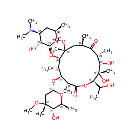 CO[C@]1(C)C[C@@H](C)C(=O)[C@H](C)[C@@H](O)[C@](C)(O)[C@@H](C(C)O)OC(=O)[C@H](C)[C@@H](O[C@H]2C[C@@](C)(OC)[C@@H](O)[C@H](C)O2)[C@H](C)[C@H]1O[C@@H]1O[C@H](C)C[C@H](N(C)C)[C@H]1O